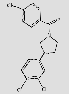 O=C(c1ccc(Cl)cc1)N1CC[C](c2ccc(Cl)c(Cl)c2)C1